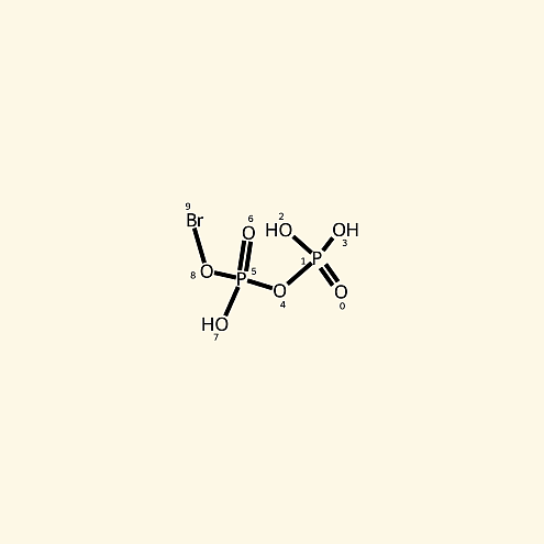 O=P(O)(O)OP(=O)(O)OBr